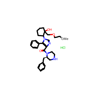 COCCOCC1(O)CCCCC1n1cnc(C(=O)N2CCNC[C@H]2Cc2ccccc2)c1-c1ccccc1.Cl